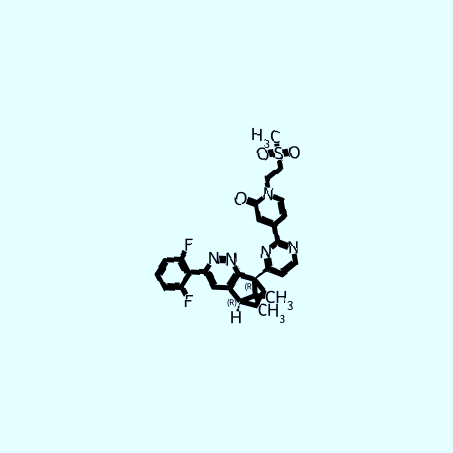 CC1(C)[C@H]2CC[C@@]1(c1ccnc(-c3ccn(CCS(C)(=O)=O)c(=O)c3)n1)c1nnc(-c3c(F)cccc3F)cc12